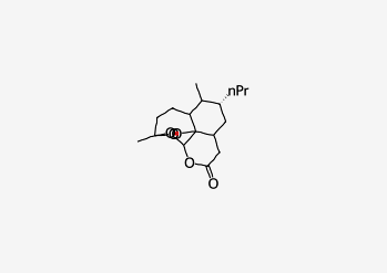 CCC[C@@H]1CC2CC(=O)OC3OC4(C)CCC(C1C)C23OO4